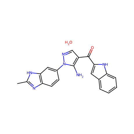 Cc1nc2ccc(-n3ncc(C(=O)c4cc5ccccc5[nH]4)c3N)cc2[nH]1.O